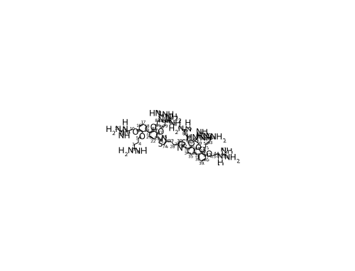 N=C(N)CCCOc1c(OCCNC(=N)N)cccc1-c1ccc(-c2nc(CCc3csc(-c4ccc(-c5cccc(OCCNC(=N)N)c5OCCCC(=N)N)c(OCCNC(=N)N)c4OCCCC(=N)N)n3)cs2)c(OCCCC(=N)N)c1OCCNC(=N)N